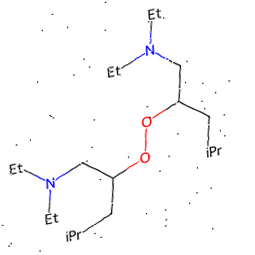 CCN(CC)CC(CC(C)C)OOC(CC(C)C)CN(CC)CC